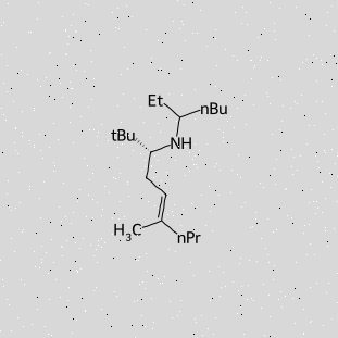 CCCCC(CC)N[C@H](C/C=C(\C)CCC)C(C)(C)C